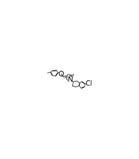 Cc1ccc(OC[C@H]2C[C@@H](C)N(C3CCc4ccc(Cl)cc4C3)C2)cc1